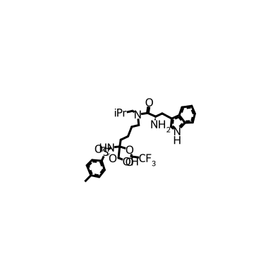 Cc1ccc(S(=O)(=O)NC(CO)(CCCCN(CC(C)C)C(=O)[C@@H](N)Cc2c[nH]c3ccccc23)OC(=O)C(F)(F)F)cc1